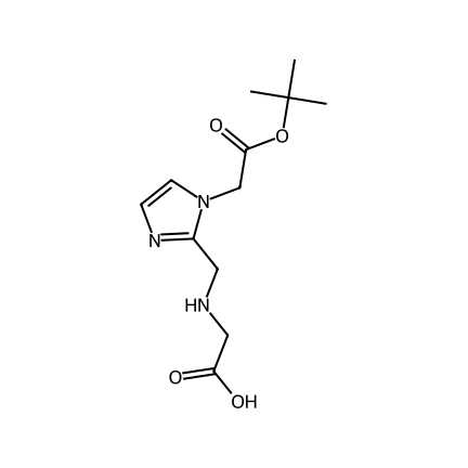 CC(C)(C)OC(=O)Cn1ccnc1CNCC(=O)O